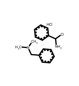 CN(C)Cc1ccccc1.Cl.NC(Cl)c1ccccc1